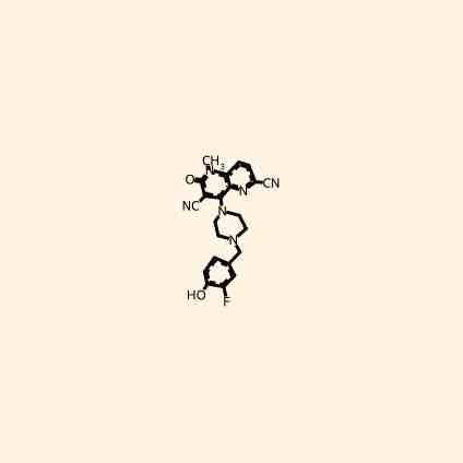 Cn1c(=O)c(C#N)c(N2CCN(Cc3ccc(O)c(F)c3)CC2)c2nc(C#N)ccc21